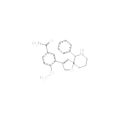 COc1ccc(C(N)=O)cc1C1=CC2(CCCNC2c2ccccc2)OC1